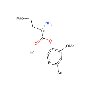 COc1cc(C(C)=O)ccc1OC(=O)[C@@H](N)CCSC.Cl